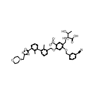 Cc1c(COc2cc(OCc3cccc(C#N)c3)c(CN[C@H](C(=O)O)C(C)O)cc2[N+](=O)[O-])cccc1-c1cccc(-c2nc(CN3CCOCC3)no2)c1C